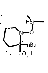 CCCCC1(C(=O)O)CCCCN1O[SiH](C)C